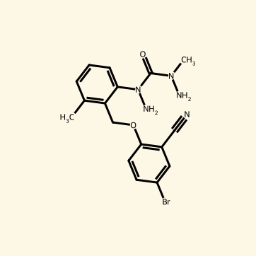 Cc1cccc(N(N)C(=O)N(C)N)c1COc1ccc(Br)cc1C#N